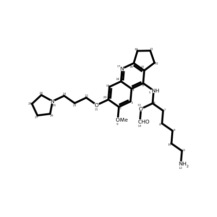 COc1cc2c(NC(CCCCCN)OC=O)c3c(nc2cc1OCCCN1CCCC1)CCC3